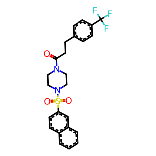 O=C(CCc1ccc(C(F)(F)F)cc1)N1CCN(S(=O)(=O)c2ccc3ccccc3c2)CC1